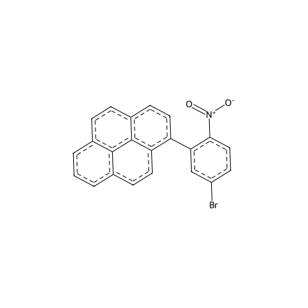 O=[N+]([O-])c1ccc(Br)cc1-c1ccc2ccc3cccc4ccc1c2c34